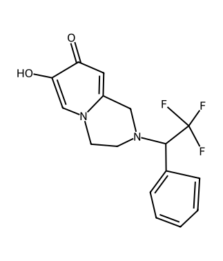 O=c1cc2n(cc1O)CCN(C(c1ccccc1)C(F)(F)F)C2